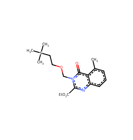 CCOC(=O)c1nc2cccc(C)c2c(=O)n1COCC[Si](C)(C)C